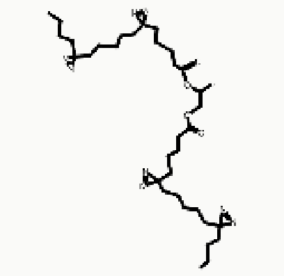 [CH2]C(COC(=O)CCCCC1(CCCCCC2(CCCC)N=N2)N=N1)OC(=O)CCCCC1(CCCCCC2(CCCC)N=N2)N=N1